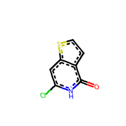 O=c1[nH]c(Cl)cc2sccc12